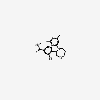 Cc1cc(N2CCCOC[C@H]2c2ccc(C(=O)N(C)C)cc2Cl)nc(C)n1